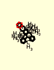 Cc1ccccc1C1c2ccccc2C(C)c2c1c([SH](C)(C)(C)C)c1c(c2[SH](C)(C)(C)C)C2c3ccccc3C1c1ccccc12